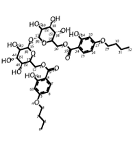 CCCCOc1ccc(C(=O)OCC2O[C@H](O[C@H]3OC(COC(=O)c4ccc(OCCCC)cc4O)[C@@H](O)[C@H](O)C3O)C(O)[C@@H](O)[C@@H]2O)c(O)c1